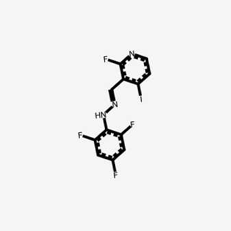 Fc1cc(F)c(NN=Cc2c(I)ccnc2F)c(F)c1